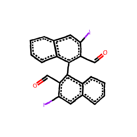 O=Cc1c(I)cc2ccccc2c1-c1c(C=O)c(I)cc2ccccc12